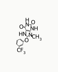 CN1c2[nH]c(=O)[nH]c(=O)c2NC1Oc1cccc(C(F)(F)F)c1